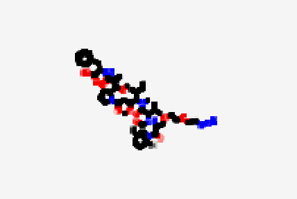 CCC(C)C(C(CC(=O)N1CCC[C@H]1C(OC)C(C)C(=O)NC(Cc1ccccc1)C(=O)O)OC)N(C)C(=O)C(NC(=O)[C@@H]1[C@H]2CC[C@H](C2)N1C(=O)CCOCCOCCN=[N+]=[N-])C(C)C